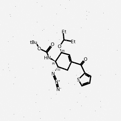 CCC(CC)O[C@@H]1C=C(C(=O)c2cccs2)C[C@H](N=[N+]=[N-])[C@H]1NC(=O)OC(C)(C)C